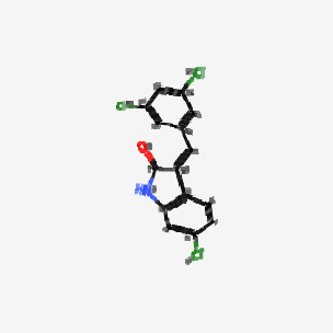 O=C1Nc2cc(Cl)ccc2/C1=C/c1cc(Cl)cc(Cl)c1